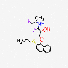 C=CCSc1ccc2ccccc2c1OCC(O)C(I)NC(C)CI